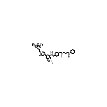 CCOP(=O)(CCCN1CCN(c2cc(N)nc(NCC3CCC(CNCCCNC4CCCCC4)CC3)n2)C[C@H]1C)OCC